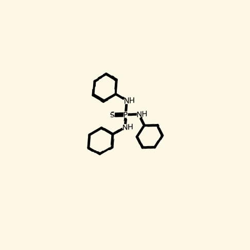 S=P(NC1CCCCC1)(NC1CCCCC1)NC1CCCCC1